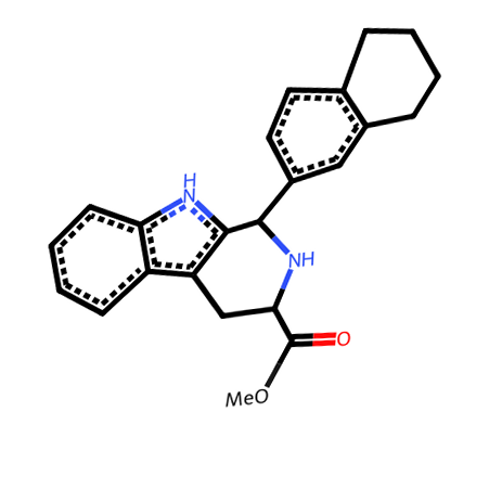 COC(=O)C1Cc2c([nH]c3ccccc23)C(c2ccc3c(c2)CCCC3)N1